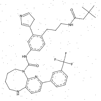 CC(C)(C)CC(=O)NCCCc1ccc(NC(=O)N2CCCCNc3ccc(-c4cccc(C(F)(F)F)c4)nc32)cc1C1=CN=CC1